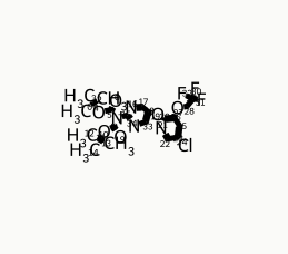 CC(C)(C)OC(=O)N(C(=O)OC(C)(C)C)c1ncc(Oc2ncc(Cl)cc2OCC(F)(F)F)cn1